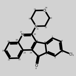 O=C1c2cc(Cl)ccc2-c2c(N3CCOCC3)nc3ccccc3c21